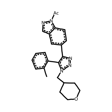 CC(=O)n1ncc2cc(-c3nnn(CC4CCOCC4)c3-c3ccccc3C)ccc21